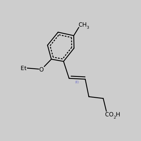 CCOc1ccc(C)cc1/C=C/CCC(=O)O